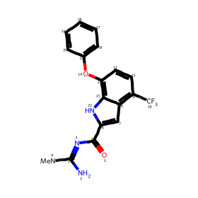 CNC(N)=NC(=O)c1cc2c(C(F)(F)F)ccc(Oc3ccccc3)c2[nH]1